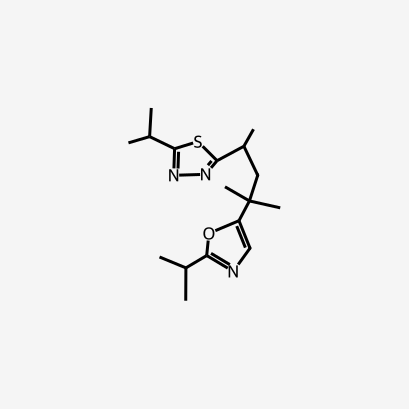 CC(C)c1ncc(C(C)(C)CC(C)c2nnc(C(C)C)s2)o1